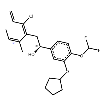 C=C/C(Cl)=C(C[C@H](O)c1ccc(OC(F)F)c(OC2CCCC2)c1)\C(C)=C/C